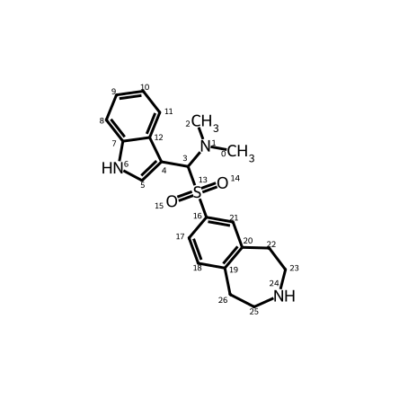 CN(C)C(c1c[nH]c2ccccc12)S(=O)(=O)c1ccc2c(c1)CCNCC2